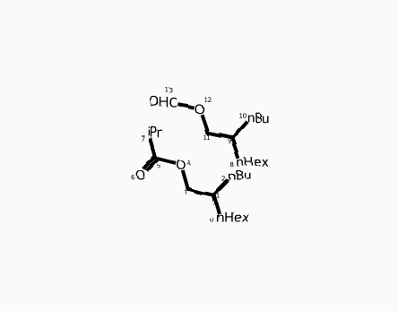 CCCCCCC(CCCC)COC(=O)C(C)C.CCCCCCC(CCCC)COC=O